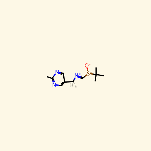 Cc1ncc([C@@H](C)/N=C/[S+]([O-])C(C)(C)C)cn1